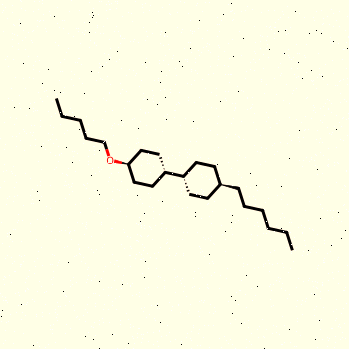 CCCCCC[C@H]1CC[C@H]([C@H]2CC[C@H](OCCCCC)CC2)CC1